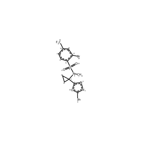 CC(C)c1nnc(C2(N(C)S(=O)(=O)c3ccc(C(F)(F)F)cc3Br)CC2)o1